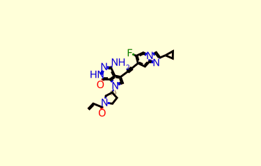 C=CC(=O)N1CC[C@H](n2cc(C#Cc3cc4nc(C5CC5)cn4cc3F)c3c(N)n[nH]c(=O)c32)C1